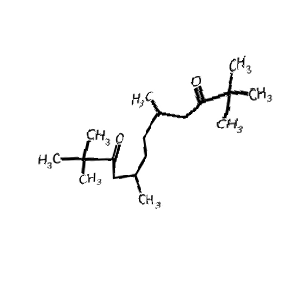 CC(CCC(C)CC(=O)C(C)(C)C)CC(=O)C(C)(C)C